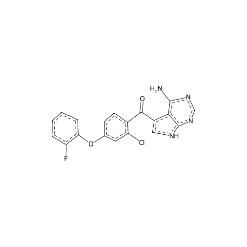 Nc1ncnc2[nH]cc(C(=O)c3ccc(Oc4ccccc4F)cc3Cl)c12